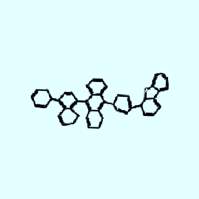 C1=CCC(c2ccc(-c3c4c(c(C5C=CC(C6C=CC=C7c8ccccc8SC76)=CC5)c5ccccc35)CCC=C4)c3c2C=CCC3)C=C1